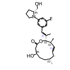 C/C(=C\c1cc(F)cc(N2CCC[C@@H]2CO)c1)[C@H]1OC(=O)C[C@H](O)CC[C@@H](C)[CH]/C=C/[C@@H]1C